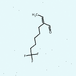 C/C=C(/C=O)CCCCCC(F)(F)F